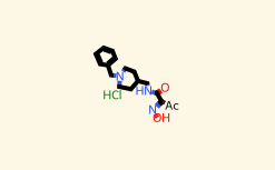 CC(=O)C(=NO)C(=O)NCC1CCN(Cc2ccccc2)CC1.Cl